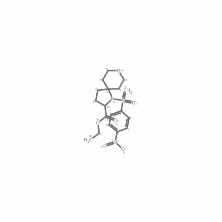 C=S(=O)(c1ccc([N+](=O)[O-])cc1)N1C(C(=O)OCC)CCC12CCOCC2